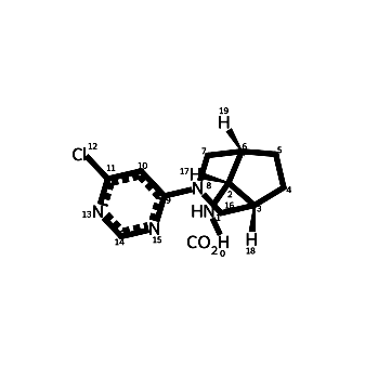 O=C(O)N[C@H]1[C@@H]2CC[C@H]1CN(c1cc(Cl)ncn1)C2